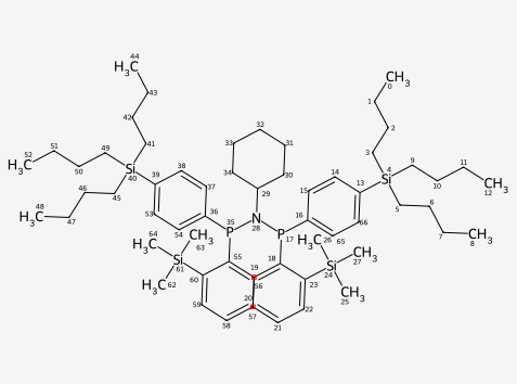 CCCC[Si](CCCC)(CCCC)c1ccc(P(c2ccccc2[Si](C)(C)C)N(C2CCCCC2)P(c2ccc([Si](CCCC)(CCCC)CCCC)cc2)c2ccccc2[Si](C)(C)C)cc1